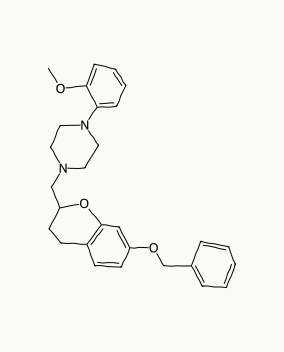 COc1ccccc1N1CCN(CC2CCc3ccc(OCc4ccccc4)cc3O2)CC1